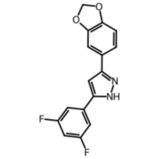 Fc1cc(F)cc(-c2cc(-c3ccc4c(c3)OCO4)n[nH]2)c1